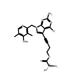 COc1c(C)cnc(Cn2cc(C#CCCOC(=O)[C@H](N)C(C)C)c3c(Cl)nc(N)nc32)c1C